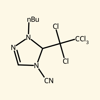 CCCCN1N=CN(C#N)C1C(Cl)(Cl)C(Cl)(Cl)Cl